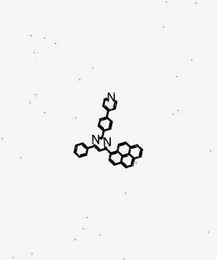 c1ccc(-c2cc(-c3ccc4ccc5cccc6ccc3c4c56)nc(-c3ccc(-c4ccncc4)cc3)n2)cc1